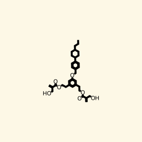 C=C(CO)C(=O)OCCc1cc(CCOC(=O)C(=C)CO)cc(OCc2ccc(C3CCC(CCC)CC3)cc2)c1